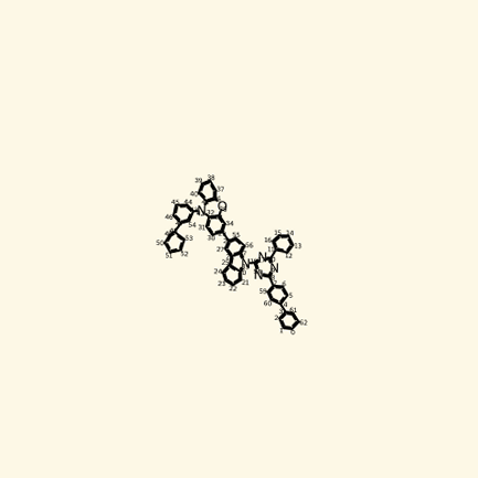 c1ccc(-c2ccc(-c3nc(-c4ccccc4)nc(-n4c5ccccc5c5cc(-c6ccc7c(c6)Oc6ccccc6N7c6cccc(-c7ccccc7)c6)ccc54)n3)cc2)cc1